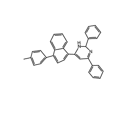 Cc1ccc(-c2ccc(C3=CC(c4ccccc4)=NC(c4ccccc4)N3)c3ccccc23)cc1